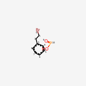 BrCCc1ccccc1.O=PO